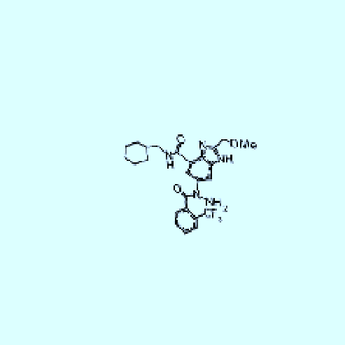 COCc1nc2c(C(=O)NCC3CCCCC3)cc(N(N)C(=O)c3ccccc3C(F)(F)F)cc2[nH]1